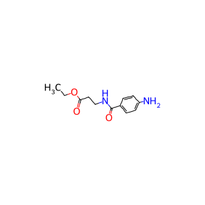 CCOC(=O)CCNC(=O)c1ccc(N)cc1